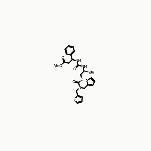 CCCC[C@@H](COC(=O)N(Cc1cccs1)Cc1cccs1)NC(=O)NC(CC(=O)OC)c1ccccc1